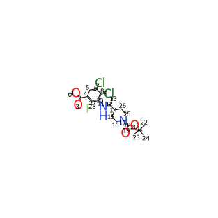 COC(=O)c1cc(Cl)c(Cl)c(N[C@@H](C)C2CCN(C(=O)OC(C)(C)C)CC2)c1F